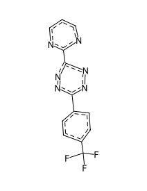 FC(F)(F)c1ccc(-c2nnc(-c3ncccn3)nn2)cc1